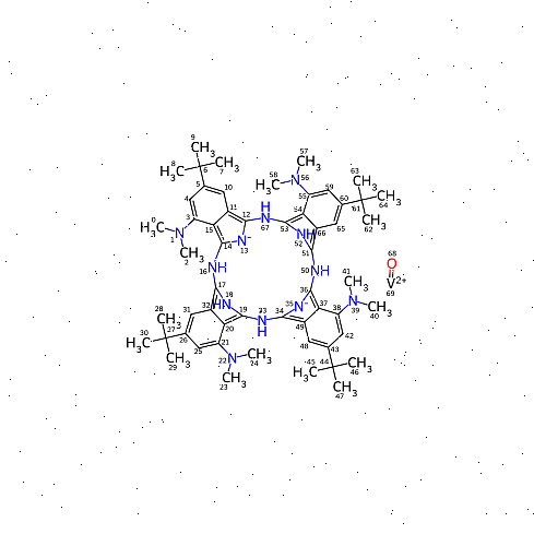 CN(C)c1cc(C(C)(C)C)cc2c3[n-]c(c12)Nc1[nH]c(c2c(N(C)C)cc(C(C)(C)C)cc12)Nc1[n-]c(c2c(N(C)C)cc(C(C)(C)C)cc12)Nc1[nH]c(c2c(N(C)C)cc(C(C)(C)C)cc12)N3.[O]=[V+2]